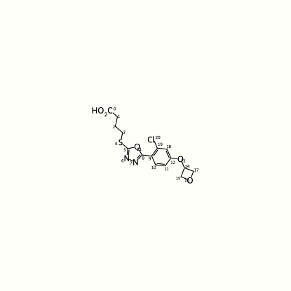 O=C(O)CCCSc1nnc(-c2ccc(OC3COC3)cc2Cl)o1